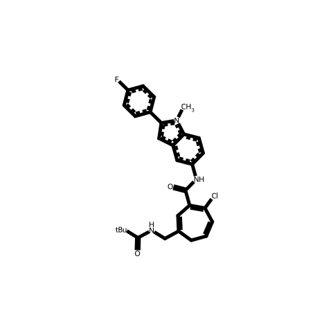 Cn1c(-c2ccc(F)cc2)cc2cc(NC(=O)C3=C(Cl)C=CCC(CNC(=O)C(C)(C)C)=C3)ccc21